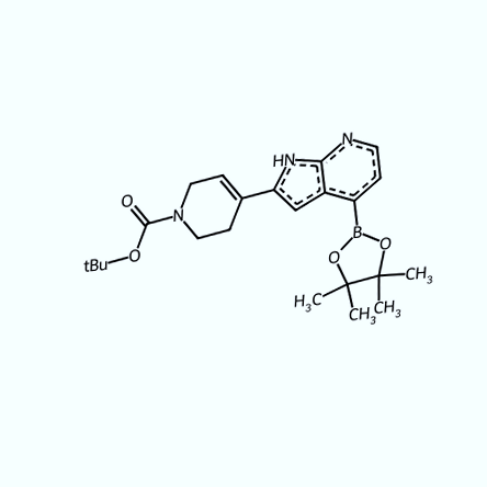 CC(C)(C)OC(=O)N1CC=C(c2cc3c(B4OC(C)(C)C(C)(C)O4)ccnc3[nH]2)CC1